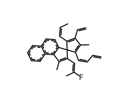 C=C/C=C\C1=C(C)C(C=C)=C(/C=C\C)C12C(/C=C(\C)F)=C(C)c1c2ccc2ccccc12